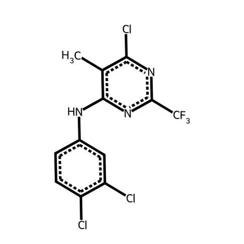 Cc1c(Cl)nc(C(F)(F)F)nc1Nc1ccc(Cl)c(Cl)c1